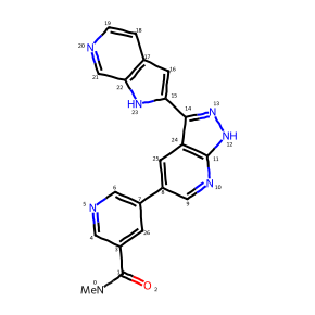 CNC(=O)c1cncc(-c2cnc3[nH]nc(-c4cc5ccncc5[nH]4)c3c2)c1